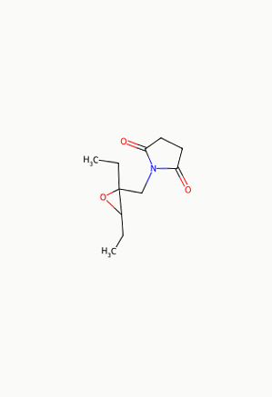 CCC1OC1(CC)CN1C(=O)CCC1=O